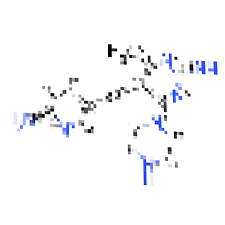 Cc1nc(N)nc(N2CCNCC2)c1C#Cc1ccc(N)nc1